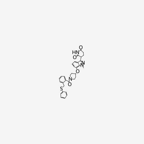 Cn1nc(C2CCC(=O)NC2=O)c2cccc(OC3CCN(C(=O)c4ccccc4CSc4ccccc4)CC3)c21